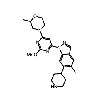 COc1nc(N2CCOC(C)C2)cc(-n2ncc3cc(C)c(C4CCNCC4)cc32)n1